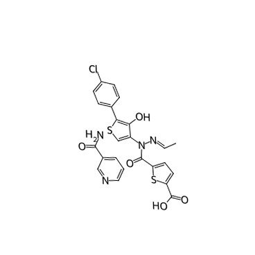 CC=NN(C(=O)c1ccc(C(=O)O)s1)c1csc(-c2ccc(Cl)cc2)c1O.NC(=O)c1cccnc1